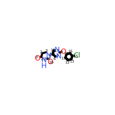 O=C1CCN(c2cnc(Oc3cccc(Cl)c3)nc2)C(=O)N1